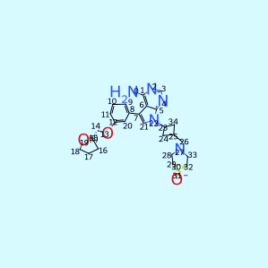 Nc1ncnc2c1c(-c1cccc(OC[C@@H]3CCCO3)c1)cn2C1CC(CN2CC[S+]([O-])CC2)C1